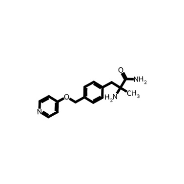 CC(N)(Cc1ccc(COc2ccncc2)cc1)C(N)=O